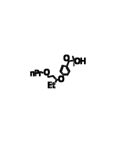 CCCOCCC(CC)Oc1ccc(C(=O)C(C)(C)O)cc1